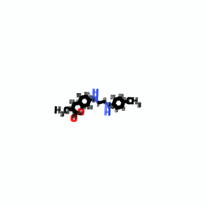 Cc1ccc(NCCNc2ccc3cc(C)c(=O)oc3c2)cc1